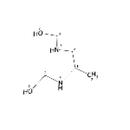 CC(CNCO)NCO